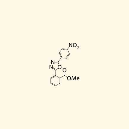 COC(=O)c1ccccc1-c1nnc(-c2ccc([N+](=O)[O-])cc2)o1